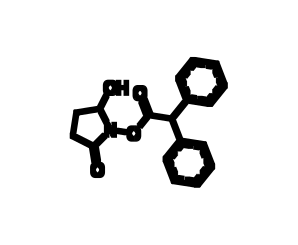 O=C(ON1C(=O)CCC1O)C(c1ccccc1)c1ccccc1